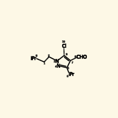 CC(C)CCn1nc(C(C)C)c(C=O)c1Cl